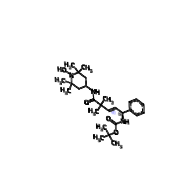 CC(C)(C)OC(=O)N[C@@H](/C=C/C(C)(C)C(=O)NC1CC(C)(C)N(O)C(C)(C)C1)c1ccccc1